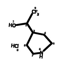 Cl.OC(C1CCNCC1)C(F)(F)F